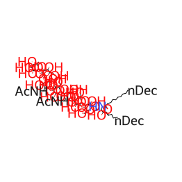 CCCCCCCCCCCCC/C=C/[C@@H](O)[C@H](CO[C@@H]1OC(CO)[C@@H](O[C@@H]2OC(CO)[C@H](O)[C@H](O[C@@H]3OC(CO)[C@@H](O)[C@H](O[C@@H]4OC(CO)[C@H](O)[C@H](O[C@@H]5OC(CO)[C@@H](O[C@@H]6OC(CO)[C@H](O)[C@H](O)C6O[C@H]6OC(C)[C@@H](O)C(O)[C@@H]6O)[C@H](O)C5NC(C)=O)C4O)C3NC(C)=O)C2O)[C@H](O)C1O)NC(=O)CCCCCCCCCCCCCCCCCCC